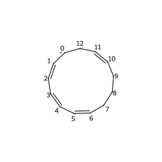 [CH]1C=CC=CC=CCCCC=CC1